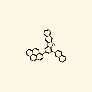 c1ccc2cc(-c3cc(-c4ccc5ccc6cccc7ccc4c5c67)cc4c3oc3cc5ccccc5cc34)ccc2c1